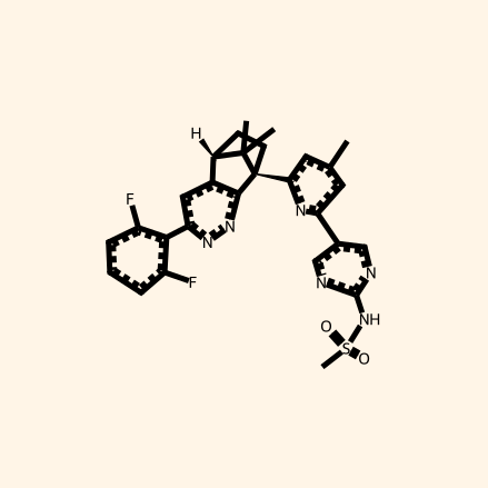 Cc1cc(-c2cnc(NS(C)(=O)=O)nc2)nc([C@@]23CC[C@@H](c4cc(-c5c(F)cccc5F)nnc42)C3(C)C)c1